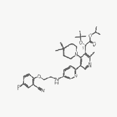 Cc1ncc(-c2ccc(NCCOc3ccc(F)cc3C#N)cn2)c(N2CCC(C)(C)CC2)c1[C@H](OC(C)(C)C)C(=O)OC(C)C